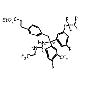 CCOC(=O)CCc1ccc(C[C@@](NC(=O)NCC(F)(F)F)(c2cc(F)cc(OC(F)(F)C(F)F)c2)c2ccc(F)c(C(F)(F)F)c2)cc1